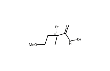 CC[C@](C)(CCOC)C(=O)NS